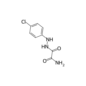 NC(=O)C(=O)NNc1ccc(Cl)cc1